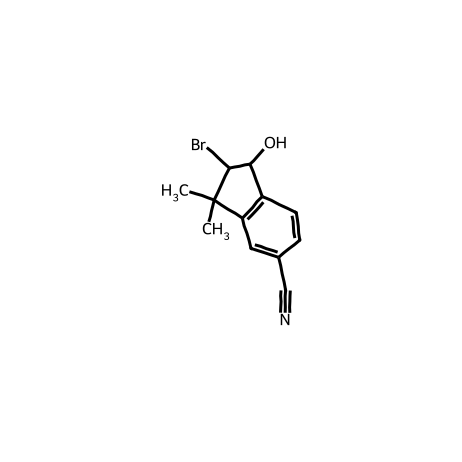 CC1(C)c2cc(C#N)ccc2C(O)C1Br